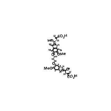 COc1cc2c(cc1OCCCOc1c(C)c3c(c(C)c1OC)CN(C(O)C[C@H](C)C(=O)O)C3C)CN(C(=O)C[C@H](C)C(=O)O)C2